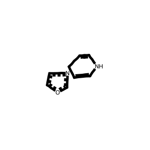 C1=CNC=CC1.c1cocn1